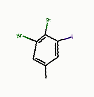 Cc1cc(Br)c(Br)c(I)c1